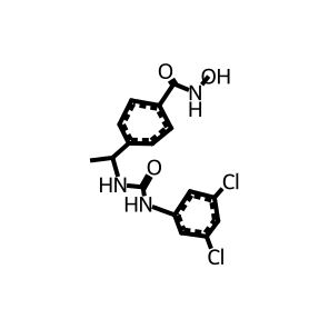 CC(NC(=O)Nc1cc(Cl)cc(Cl)c1)c1ccc(C(=O)NO)cc1